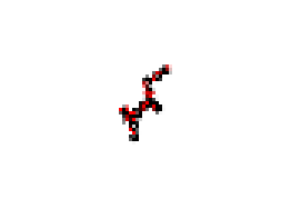 c1ccc(-c2ccc(-c3cccc(-c4ccc(-n5c6ccc(-c7ccc8c(c7)n7c9ccccc9nc7n8-c7ccc(-c8ccccc8)cc7)cc6n6c7ccccc7nc56)cc4)c3)cc2)cc1